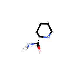 CC(C)(C)NC(=O)[C@@H]1CCCCN1